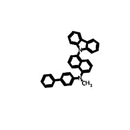 CN(c1ccc(-c2ccccc2)cc1)c1cccc2c(-n3c4ccccc4c4ccccc43)cccc12